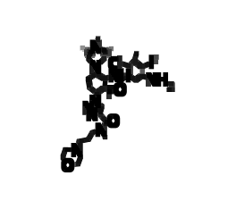 Cc1c(F)c(N)cc(C(=O)Nc2c(N3C[C@@H](C)N(C)[C@@H](C)C3)ccc(-n3cc(C(=O)N(C)CCCN4CCOCC4)nn3)c2F)c1Cl